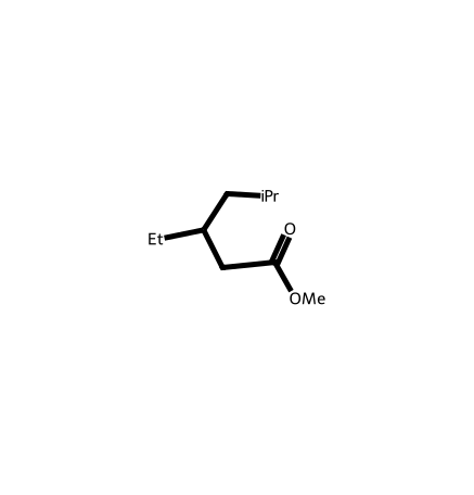 CCC(CC(=O)OC)CC(C)C